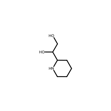 OCC(O)C1CCCCN1